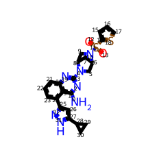 Nc1nc(N2CC3CC2CN3S(=O)(=O)c2cccs2)nc2cccc(-c3cc(C4CC4)[nH]n3)c12